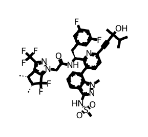 CC(C)C(C)(O)C#Cc1ccc(-c2cccc3c(NS(C)(=O)=O)nn(C)c23)c([C@H](Cc2cc(F)cc(F)c2)NC(=O)Cn2nc(C(F)(F)F)c3c2C(F)(F)[C@H](C)[C@@H]3C)n1